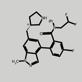 CC(C)N(CC(F)F)C(=O)c1cc(F)ccc1-c1cc(C[C@@H]2CCNC2)cc2c1cnn2C